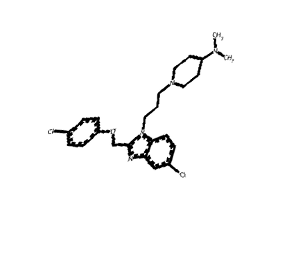 CN(C)C1CCN(CCCn2c(COc3ccc(Cl)cc3)nc3cc(Cl)ccc32)CC1